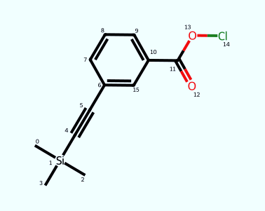 C[Si](C)(C)C#Cc1cccc(C(=O)OCl)c1